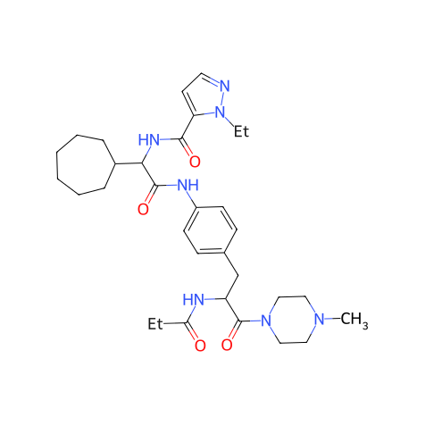 CCC(=O)NC(Cc1ccc(NC(=O)C(NC(=O)c2ccnn2CC)C2CCCCCC2)cc1)C(=O)N1CCN(C)CC1